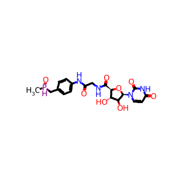 C[PH](=O)Cc1ccc(NC(=O)CNC(=O)[C@H]2O[C@@H](n3ccc(=O)[nH]c3=O)C(O)[C@@H]2O)cc1